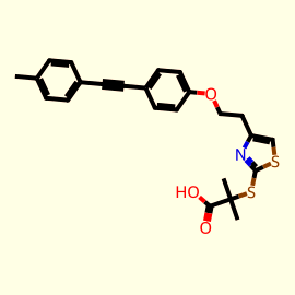 Cc1ccc(C#Cc2ccc(OCCc3csc(SC(C)(C)C(=O)O)n3)cc2)cc1